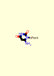 CCCCCn1c(N)cc(=O)[nH]c1=O